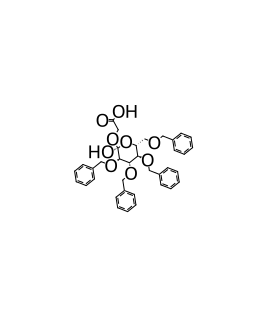 O=C(O)CO[C@@]1(O)O[C@H](COCc2ccccc2)[C@@H](OCc2ccccc2)[C@H](OCc2ccccc2)[C@H]1OCc1ccccc1